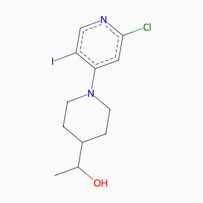 CC(O)C1CCN(c2cc(Cl)ncc2I)CC1